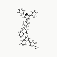 N#Cc1ccc(-c2ccc(-c3cccc4cc(-c5ccc(-c6cc(-c7ccccc7)nc(-c7ccccc7)c6)cc5)ccc34)c3ccccc23)cc1